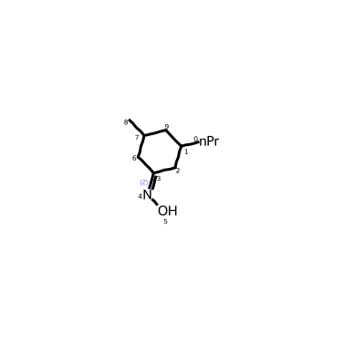 CCCC1C/C(=N\O)CC(C)C1